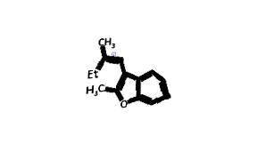 CC/C(C)=C\c1c(C)oc2ccccc12